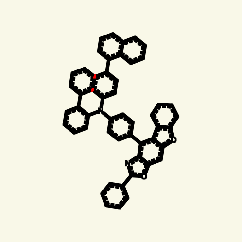 c1ccc(-c2nc3c(-c4ccc(N(c5ccc(-c6cccc7ccccc67)cc5)c5ccccc5-c5ccccc5)cc4)c4c(cc3o2)oc2ccccc24)cc1